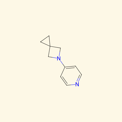 c1cc(N2CC3(CC3)C2)ccn1